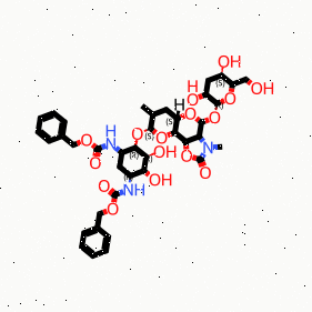 CC1C[C@@H]2OC(O[C@H]3OC(CO)[C@@H](O)CC3O)C3C(OC(=O)N3C)C2O[C@@H]1O[C@@H]1C(NC(=O)OCc2ccccc2)C[C@@H](NC(=O)OCc2ccccc2)C(O)[C@H]1O